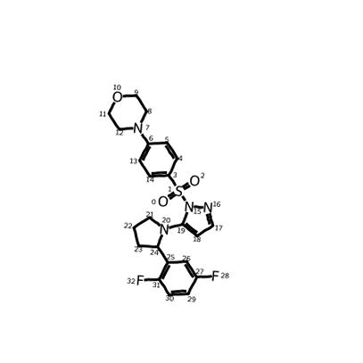 O=S(=O)(c1ccc(N2CCOCC2)cc1)n1nccc1N1CCCC1c1cc(F)ccc1F